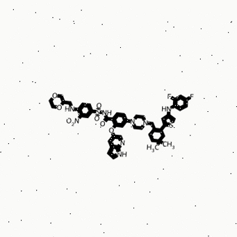 CC1(C)CCC(CN2CCN(c3ccc(C(=O)NS(=O)(=O)c4ccc(NCC5COCCO5)c([N+](=O)[O-])c4)c(Oc4cnc5[nH]ccc5c4)c3)CC2)=C(c2cc(Nc3ccc(F)cc3F)cs2)C1